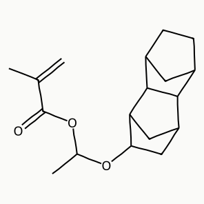 C=C(C)C(=O)OC(C)OC1CC2CC1C1C3CCC(C3)C21